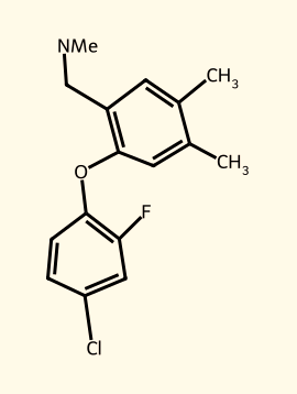 CNCc1cc(C)c(C)cc1Oc1ccc(Cl)cc1F